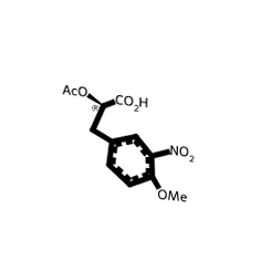 COc1ccc(C[C@@H](OC(C)=O)C(=O)O)cc1[N+](=O)[O-]